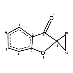 O=C1c2c[c]ccc2OC12CC2